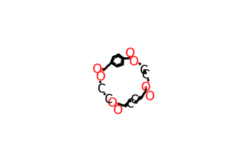 O=C1OCCCCOC(=O)c2ccc(cc2)C(=O)OCCCCOC(=O)c2ccc1cc2